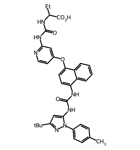 CCC(NC(=O)Nc1cc(Oc2ccc(NC(=O)Nc3cc(C(C)(C)C)nn3-c3ccc(C)cc3)c3ccccc23)ccn1)C(=O)O